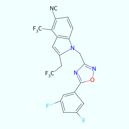 [C-]#[N+]c1ccc2c(cc(CC(F)(F)F)n2Cc2noc(-c3cc(F)cc(F)c3)n2)c1C(F)(F)F